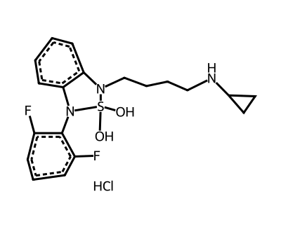 Cl.OS1(O)N(CCCCNC2CC2)c2ccccc2N1c1c(F)cccc1F